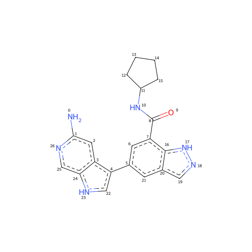 Nc1cc2c(-c3cc(C(=O)NC4CCCC4)c4[nH]ncc4c3)c[nH]c2cn1